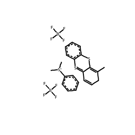 CC1=C2Sc3ccccc3[S+]=C2C=CC1.C[S+](C)c1ccccc1.F[B-](F)(F)F.F[B-](F)(F)F